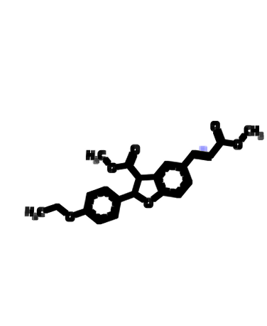 CCOc1ccc(C2Oc3ccc(/C=C/C(=O)OC)cc3C2C(=O)OC)cc1